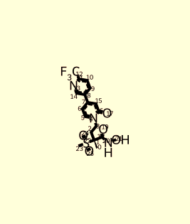 C[C@@](CCn1ccc(-c2ccc(C(F)(F)F)nc2)cc1=O)(C(=O)NO)S(C)(=O)=O